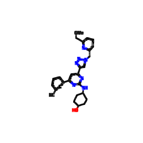 COCc1cccc(Cn2cc(-c3cc(-c4cccc(C#N)c4)nc(NC4CCC(O)CC4)n3)nn2)n1